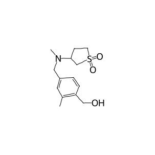 Cc1cc(CN(C)C2CCS(=O)(=O)C2)ccc1CO